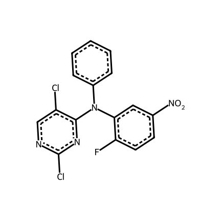 O=[N+]([O-])c1ccc(F)c(N(c2ccccc2)c2nc(Cl)ncc2Cl)c1